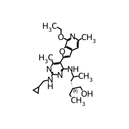 CCOc1nc(C)cc2cc(-c3c(C)nc(NCC4CC4)nc3NC(C)C[C@@H](CC)CO)oc12